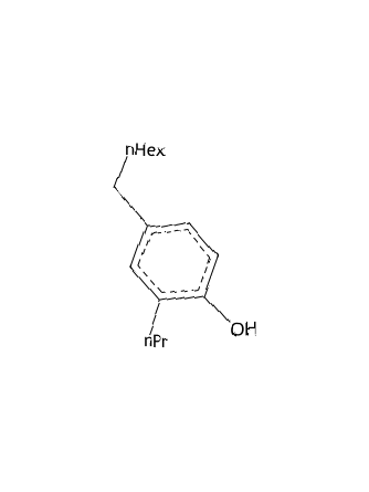 CCCCCCCc1ccc(O)c(CCC)c1